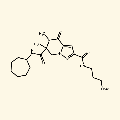 COCCCNC(=O)c1cc2n(n1)CC(C)(C(=O)NC1CCCCCC1)N(C)C2=O